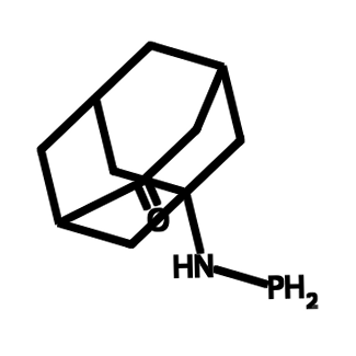 O=C1CC2CC3CC1CC(NP)(C2)C3